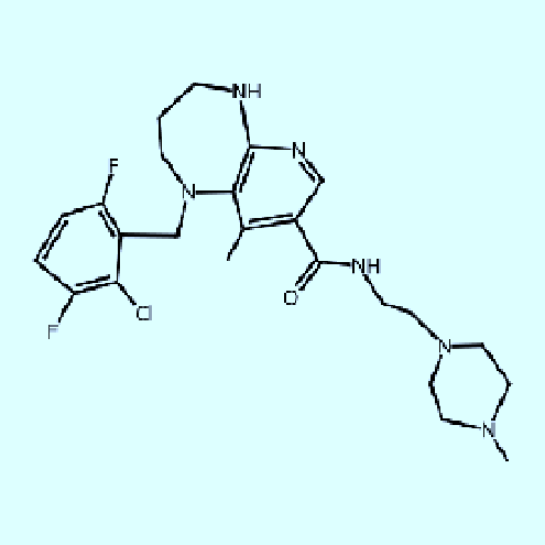 Cc1c(C(=O)NCCN2CCN(C)CC2)cnc2c1N(Cc1c(F)ccc(F)c1Cl)CCCN2